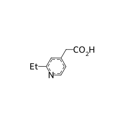 CCc1cc(CC(=O)O)ccn1